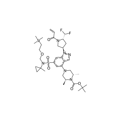 C=CC(=O)N1C[C@H](n2ncc3c(N4C[C@H](C)N(C(=O)OC(C)(C)C)[C@@H](C)C4)cc(S(=O)(=O)N(COCC[Si](C)(C)C)C4(C)CC4)cc32)C[C@H]1C(F)F